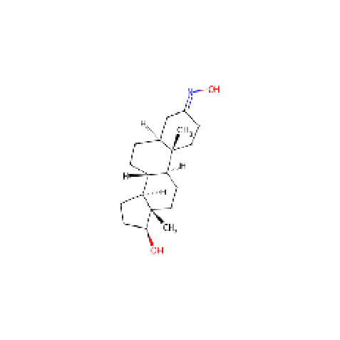 C[C@]12CCC(=NO)C[C@@H]1CC[C@@H]1[C@@H]2CC[C@]2(C)[C@@H](O)CC[C@@H]12